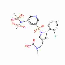 CN(Cc1cc(-c2ccccc2F)n(S(=O)(=O)c2cncc(N(S(C)(=O)=O)S(C)(=O)=O)c2)c1)C(=O)O